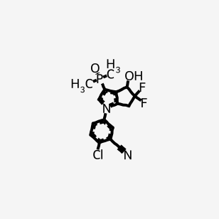 CP(C)(=O)c1cn(-c2ccc(Cl)c(C#N)c2)c2c1C(O)C(F)(F)C2